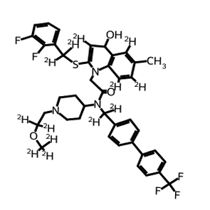 [2H]C1=C(SC([2H])([2H])c2cccc(F)c2F)N(CC(=O)N(C2CCN(CC([2H])([2H])OC([2H])([2H])[2H])CC2)C([2H])([2H])c2ccc(-c3ccc(C(F)(F)F)cc3)cc2)c2c([2H])c([2H])c(C)c([2H])c2C1O